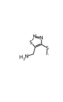 [CH2]Sc1nnsc1CN